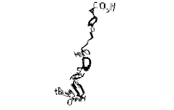 CC1(NC(=O)OC(C)(C)C)C=CN(c2cnc(Sc3cccc(NC(=O)CCCCCOc4ccc(C5CC5C(=O)O)cc4)c3)cn2)C=C1